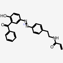 C=CC(=O)NCCc1ccc(/N=N/c2ccc(O)c(C(=O)c3ccccc3)c2)cc1